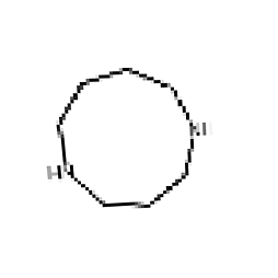 C1CCNCCCNC1